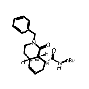 CCCCNC(=O)[C@@H]1CC=C[C@@H]2CCN(Cc3ccccc3)C(=O)[C@@H]21